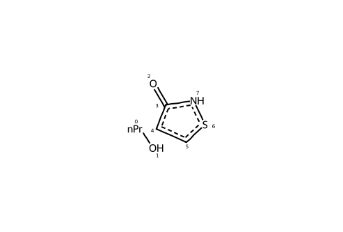 CCCO.O=c1ccs[nH]1